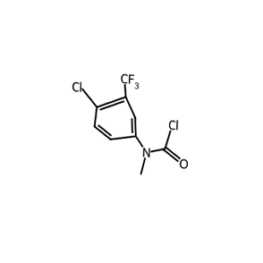 CN(C(=O)Cl)c1ccc(Cl)c(C(F)(F)F)c1